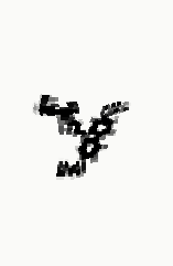 CCNC(=S)NCCn1c2cc(OC)ccc2c2ccc(OC)cc21